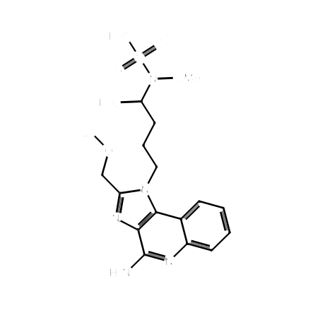 CCOCc1nc2c(N)nc3ccccc3c2n1CCCC(C)N(OC)S(C)(=O)=O